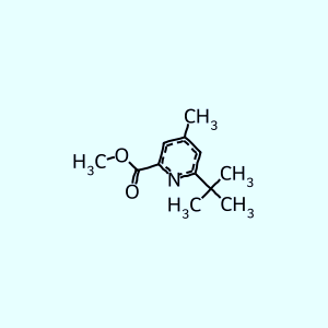 COC(=O)c1cc(C)cc(C(C)(C)C)n1